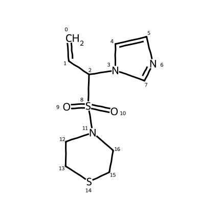 C=CC(n1ccnc1)S(=O)(=O)N1CCSCC1